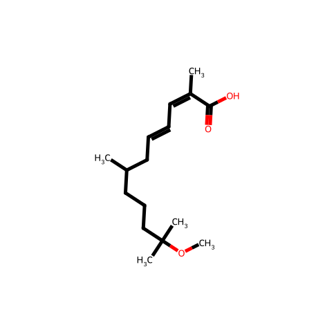 COC(C)(C)CCCC(C)CC=CC=C(C)C(=O)O